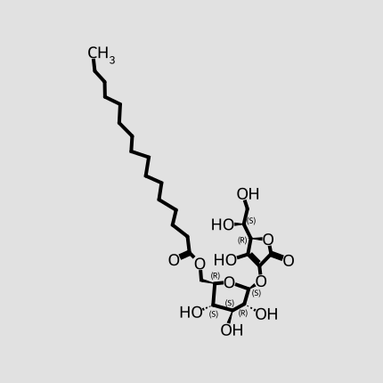 CCCCCCCCCCCCCCCC(=O)OC[C@H]1O[C@@H](OC2=C(O)[C@@H]([C@@H](O)CO)OC2=O)[C@H](O)[C@@H](O)[C@@H]1O